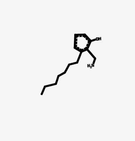 CCCCCCCc1cccc(O)c1CN